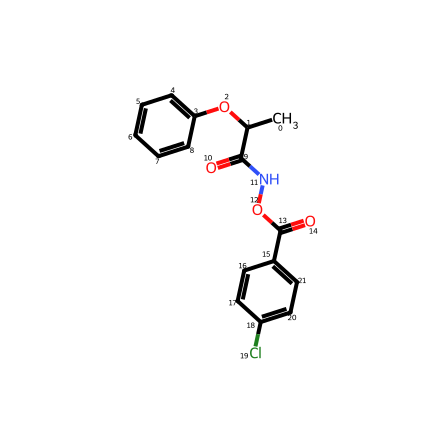 CC(Oc1ccccc1)C(=O)NOC(=O)c1ccc(Cl)cc1